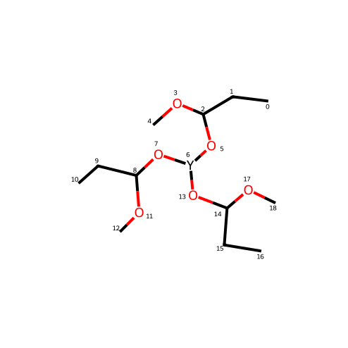 CCC(OC)[O][Y]([O]C(CC)OC)[O]C(CC)OC